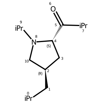 CC(C)C[C@@H]1C[C@@H](C(=O)C(C)C)N(C(C)C)C1